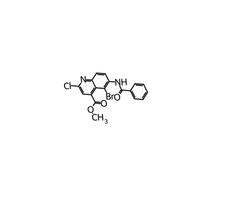 COC(=O)c1cc(Cl)nc2ccc(NC(=O)c3ccccc3)c(Br)c12